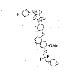 COc1cc2c(Oc3ccc(NC(=O)C4(C(=O)Nc5ccc(F)cc5)CC4)cc3F)ccnc2cc1OCC(F)(F)CN1CCOCC1